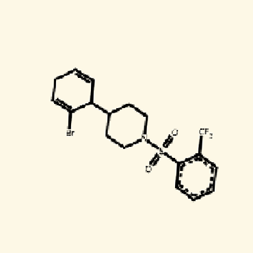 O=S(=O)(c1ccccc1C(F)(F)F)N1CCC(C2C=CCC=C2Br)CC1